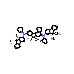 CC1(C)c2ccccc2-c2ccc(N(c3ccccc3)c3ccc4c(c3)C(C)(C)c3cc(N(c5ccccc5)c5ccc6c(c5)C(C)(C)c5ccccc5-6)c5ccccc5c3-4)cc21